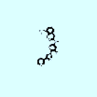 O=C(Cc1cccc(C(F)(F)F)c1F)Nc1cnc(-n2cnc(C3CCCNC3)c2)c(F)c1